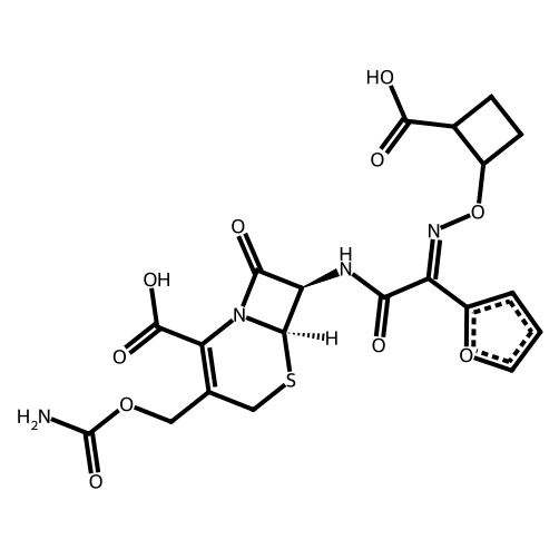 NC(=O)OCC1=C(C(=O)O)N2C(=O)[C@@H](NC(=O)C(=NOC3CCC3C(=O)O)c3ccco3)[C@H]2SC1